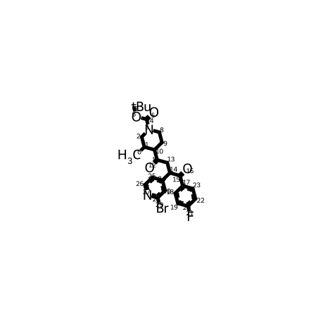 CC1CN(C(=O)OC(C)(C)C)CCC1C(=O)CC(C(=O)c1ccc(F)cc1)c1ccnc(Br)c1